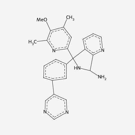 COc1c(C)cc(C2(c3cccc(-c4cncnc4)c3)NC(N)c3ncccc32)nc1C